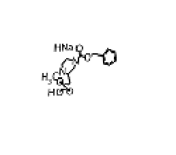 CN1CCN(C(=O)OCc2ccccc2)CC1CS(=O)(=O)O.[NaH]